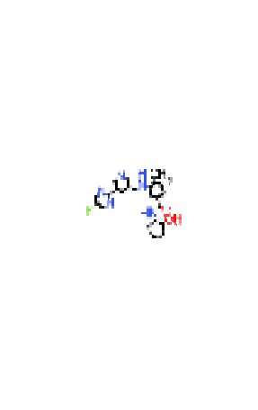 Cc1ccc(C(=O)N[C@H]2CCCC[C@@H]2O)cc1NCc1cncc(-c2ncc(F)cn2)c1